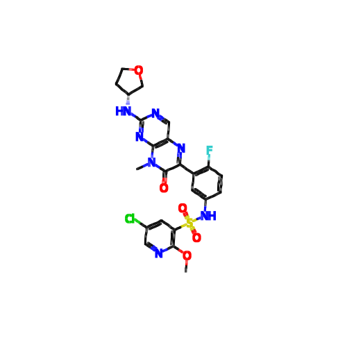 COc1ncc(Cl)cc1S(=O)(=O)Nc1ccc(F)c(-c2nc3cnc(N[C@@H]4CCOC4)nc3n(C)c2=O)c1